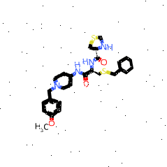 COc1ccc(CN2CCC(NC(=O)[C@H](CSCC3CCCCC3)NC(=O)[C@@H]3CSCN3)CC2)cc1